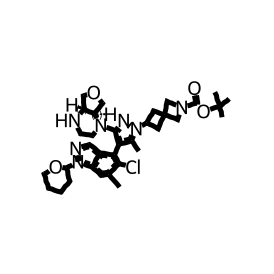 Cc1cc2c(cnn2C2CCCCO2)c(-c2c(N3CCN[C@@H]4COC[C@H]43)nn(C3CC4(C3)CN(C(=O)OC(C)(C)C)C4)c2C)c1Cl